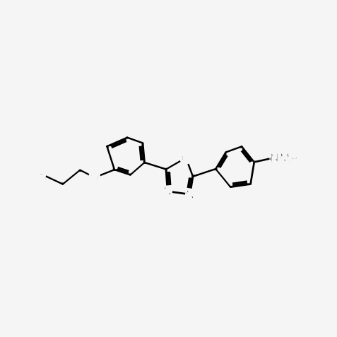 CNc1ccc(-c2nnc(-c3cccc(OCCF)c3)o2)cc1